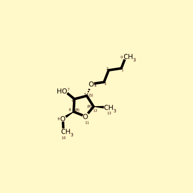 CCCCO[C@H]1C(O)[C@H](OC)O[C@@H]1C